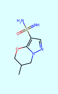 CC1COc2c(S(=N)(N)=O)cnn2C1